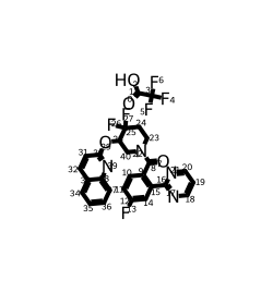 O=C(O)C(F)(F)F.O=C(c1ccc(F)cc1-c1ncccn1)N1CCC(F)(F)C(Oc2ccc3ccccc3n2)C1